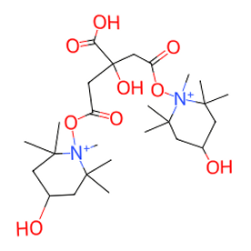 CC1(C)CC(O)CC(C)(C)[N+]1(C)OC(=O)CC(O)(CC(=O)O[N+]1(C)C(C)(C)CC(O)CC1(C)C)C(=O)O